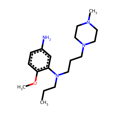 CCCN(CCCN1CCN(C)CC1)c1cc(N)ccc1OC